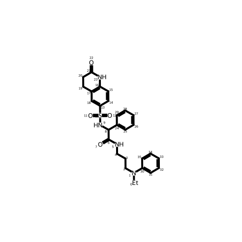 CCN(CCCNC(=O)C(NS(=O)(=O)c1ccc2c(c1)CCC(=O)N2)c1ccccc1)c1ccccc1